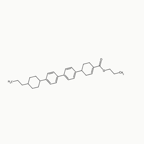 CCCOC(=O)C1=CCC(c2ccc(-c3ccc(C4CCC(CCC)CC4)cc3)cc2)CC1